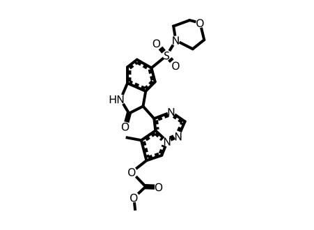 COC(=O)Oc1cn2ncnc(C3C(=O)Nc4ccc(S(=O)(=O)N5CCOCC5)cc43)c2c1C